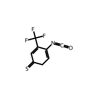 O=C=NC1=CCC(=S)C=C1C(F)(F)F